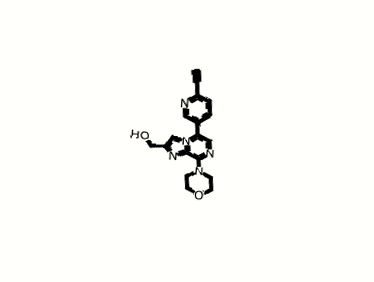 C#Cc1ccc(-c2cnc(N3CCOCC3)c3nc(CO)cn23)cn1